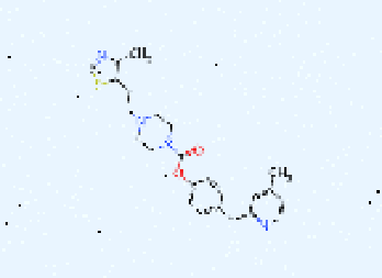 Cc1ccnc(Cc2ccc(OC(=O)N3CCN(CCc4scnc4C)CC3)cc2)c1